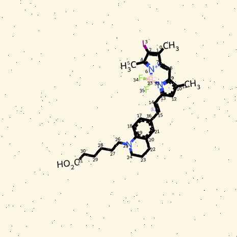 CC1=C(I)C(C)=[N+]2C1=Cc1c(C)cc(/C=C/c3ccc4c(c3)CCCN4CCCCCC(=O)O)n1[B-]2(F)F